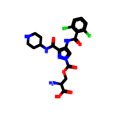 NC(COC(=O)n1cc(NC(=O)c2c(Cl)cccc2Cl)c(C(=O)NC2CCNCC2)n1)C(=O)O